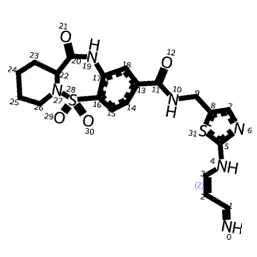 N=C/C=C\Nc1ncc(CNC(=O)c2ccc3c(c2)NC(=O)C2CCCCN2S3(=O)=O)s1